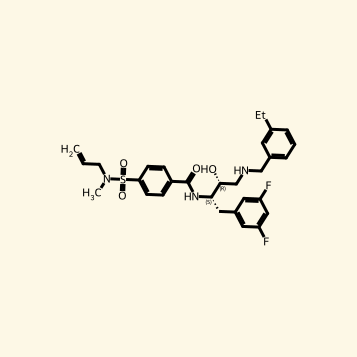 C=CCN(C)S(=O)(=O)c1ccc(C(=O)N[C@@H](Cc2cc(F)cc(F)c2)[C@H](O)CNCc2cccc(CC)c2)cc1